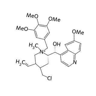 C=CC1C[N+](C)(Cc2cc(OC)c(OC)c(OC)c2)[C@H]([C@H](O)c2ccnc3ccc(OC)cc23)CC1CCl